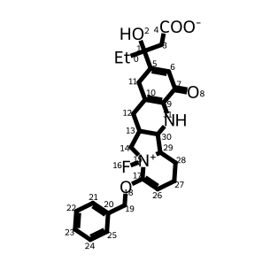 CCC(O)(CC(=O)[O-])C1=CC(=O)C2=C(C1)CC1C[N+]3(F)C(OCc4ccccc4)=CCCC3C1N2